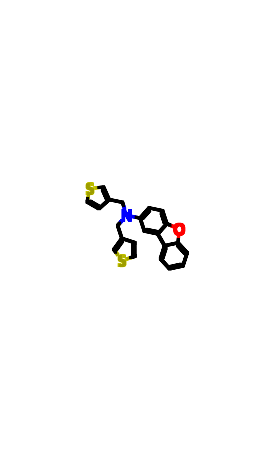 c1ccc2c(c1)oc1ccc(N(Cc3ccsc3)Cc3ccsc3)cc12